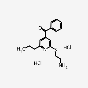 CCCc1cc(C(=O)c2ccccc2)cc(SCCN)n1.Cl.Cl